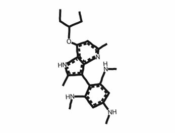 CCC(CC)Oc1cc(C)nc2c(-c3c(NC)cc(NC)cc3NC)c(C)[nH]c12